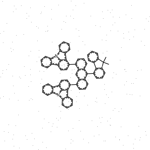 CC1(C)c2ccccc2-c2c(-c3c4cccc(-c5ccc6c7ccccc7n7c8ccccc8c5c67)c4cc4c(-c5ccc6c7ccccc7n7c8ccccc8c5c67)cccc34)cccc21